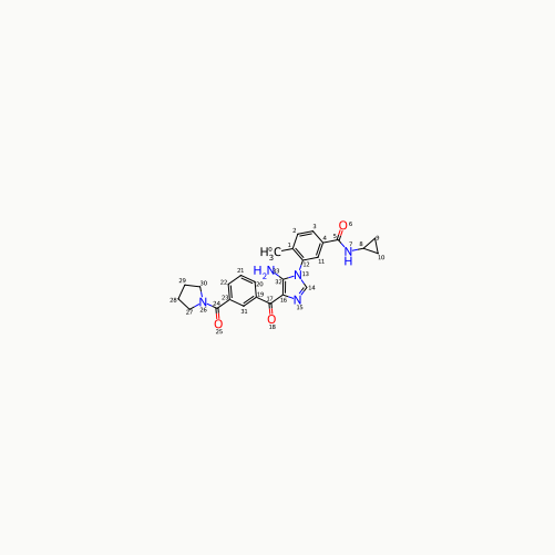 Cc1ccc(C(=O)NC2CC2)cc1-n1cnc(C(=O)c2cccc(C(=O)N3CCCC3)c2)c1N